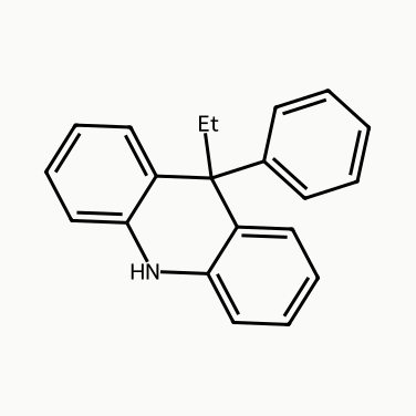 CCC1(c2ccccc2)c2ccccc2Nc2ccccc21